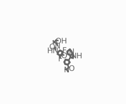 CN(C)C(=O)c1cccc(-c2c[nH]c3nccc(Oc4c(F)cc(NC5=NCC(C)(CO)CO5)cc4F)c23)c1